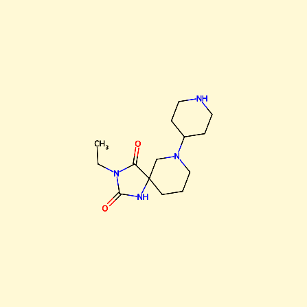 CCN1C(=O)NC2(CCCN(C3CCNCC3)C2)C1=O